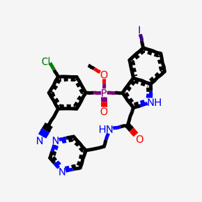 COP(=O)(c1cc(Cl)cc(C#N)c1)c1c(C(=O)NCc2cncnc2)[nH]c2ccc(I)cc12